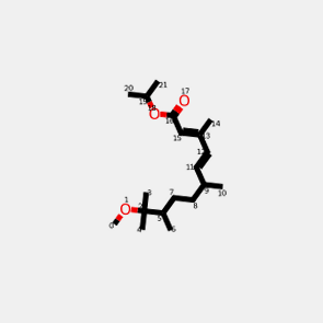 COC(C)(C)C(C)CCC(C)C=CC(C)=CC(=O)OC(C)C